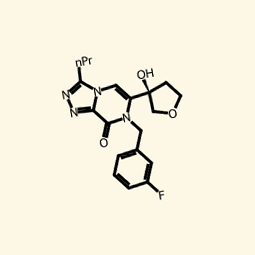 CCCc1nnc2c(=O)n(Cc3cccc(F)c3)c([C@]3(O)CCOC3)cn12